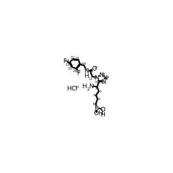 Cl.NC(CCCCB(O)O)c1nnnn1CC(=O)NCc1ccc(F)cc1F